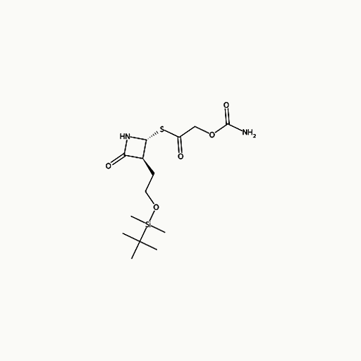 CC(C)(C)[Si](C)(C)OCC[C@H]1C(=O)N[C@@H]1SC(=O)COC(N)=O